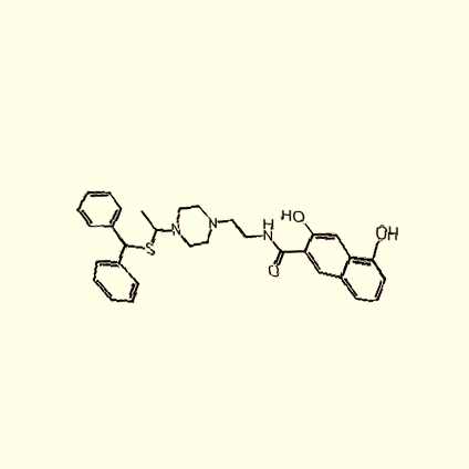 CC(SC(c1ccccc1)c1ccccc1)N1CCN(CCNC(=O)c2cc3cccc(O)c3cc2O)CC1